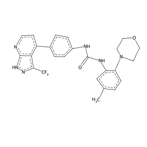 Cc1ccc(N2CCOCC2)c(NC(=O)Nc2ccc(-c3ccnc4[nH]nc(C(F)(F)F)c34)cc2)c1